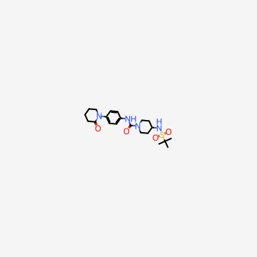 CC(C)(C)S(=O)(=O)NC1CCN(C(=O)Nc2ccc(N3CCCCC3=O)cc2)CC1